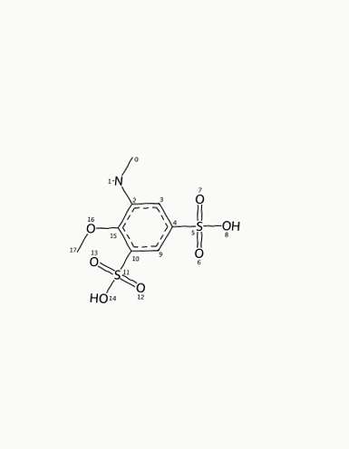 C[N]c1cc(S(=O)(=O)O)cc(S(=O)(=O)O)c1OC